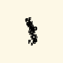 O=c1n(Cc2noc(C(F)F)n2)nc2ccc(-c3ccc(OC(F)(F)F)cc3)cn12